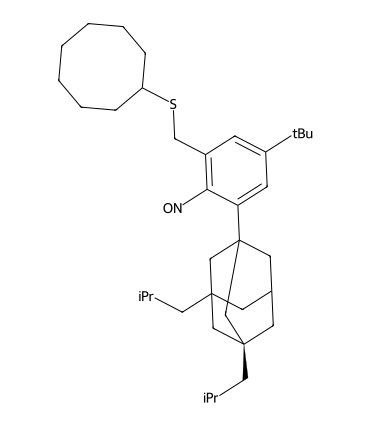 CC(C)CC12CC3CC(c4cc(C(C)(C)C)cc(CSC5CCCCCCC5)c4N=O)(C1)C[C@](CC(C)C)(C3)C2